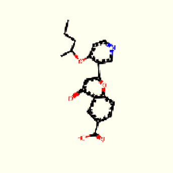 CCCC(C)Oc1ccncc1-c1cc(=O)c2cc(C(=O)O)ccc2o1